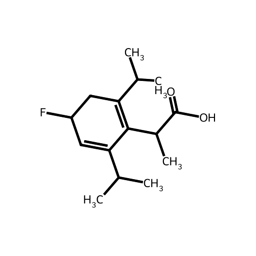 CC(C)C1=CC(F)CC(C(C)C)=C1C(C)C(=O)O